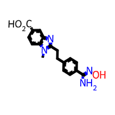 Cn1c(CCc2ccc(C(N)=NO)cc2)nc2cc(C(=O)O)ccc21